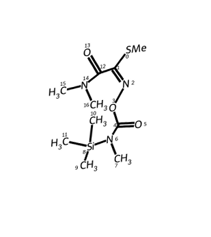 CSC(=NOC(=O)N(C)[Si](C)(C)C)C(=O)N(C)C